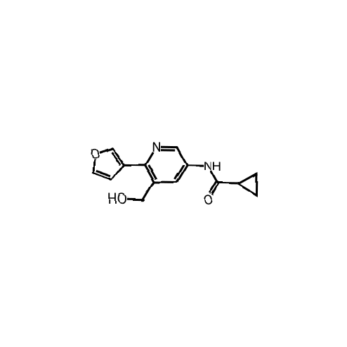 O=C(Nc1cnc(-c2ccoc2)c(CO)c1)C1CC1